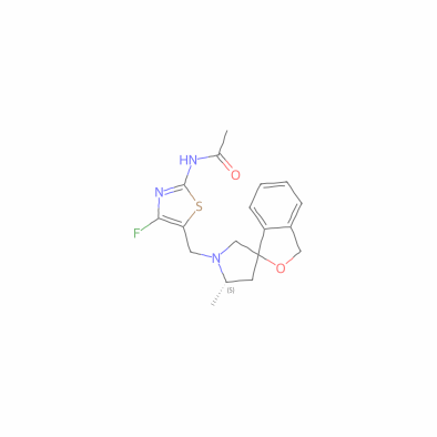 CC(=O)Nc1nc(F)c(CN2CC3(C[C@@H]2C)OCc2ccccc23)s1